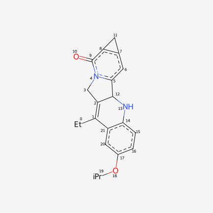 CCC1=C2Cn3c(cc4c(c3=O)C4)C2Nc2ccc(OC(C)C)cc21